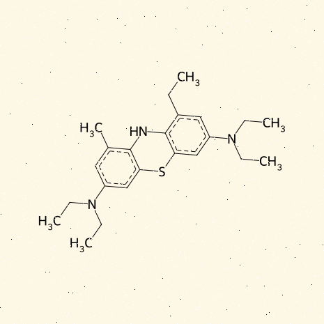 CCc1cc(N(CC)CC)cc2c1Nc1c(C)cc(N(CC)CC)cc1S2